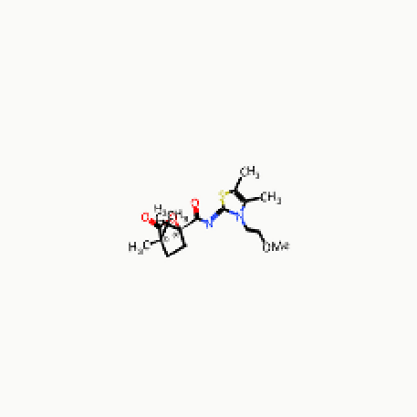 COCCn1c(C)c(C)sc1=NC(=O)[C@]12CC[C@](C)(C(=O)O1)C2(C)C